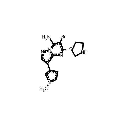 Cn1ccc(-c2cnn3c(N)c(Br)c([C@@H]4CCNC4)nc23)c1